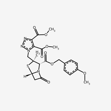 COC(=O)c1nnn(C[C@]2(C)S[C@H]3CC(=O)N3[C@H]2C(=O)OCc2ccc(OC)cc2)c1C(=O)OC